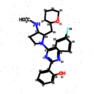 O=C(O)NC1CCN(c2nc(-c3ccccc3O)nc3ccc(F)cc23)C1CC1CCCCO1